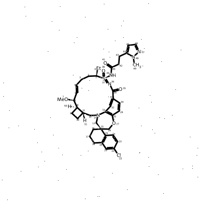 CC[C@@H]1CC/C=C/[C@H](OC)[C@@H]2CC[C@H]2CN2C[C@@]3(CCCc4cc(Cl)ccc43)COc3ccc(cc32)C(=O)N=[S@]1(=O)NC(=O)CCc1ccnn1C